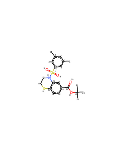 Cc1cc(C)cc(S(=O)(=O)N2CCSc3ccc(C(=O)OC(C)(C)C)cc32)c1